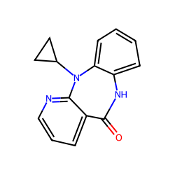 O=C1Nc2ccccc2N(C2CC2)c2ncccc21